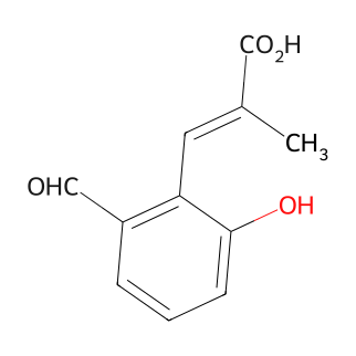 CC(=Cc1c(O)cccc1C=O)C(=O)O